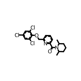 CC1CCCC(C)N1C(=O)c1cccc(COc2c(Cl)cc(Cl)cc2Cl)n1